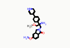 COCC(N)(CN1CC2C=C(ON)C=CC2C1=O)C1=CC=C(C2=CCNC=C2)CC1